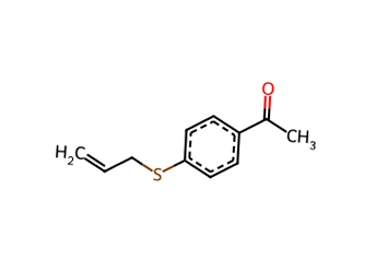 C=CCSc1ccc(C(C)=O)cc1